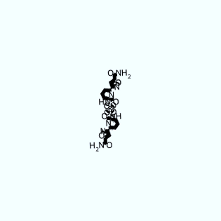 NC(=O)c1cc([C@@H]2CC[C@@H]3CN2C(=O)N3OS(=O)(=O)ON2C(=O)N3C[C@H]2CC[C@H]3c2cc(C(N)=O)on2)no1